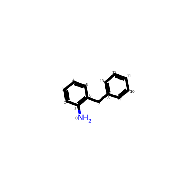 Nc1ccc[c]c1Cc1[c]cccc1